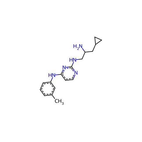 Cc1cccc(Nc2ccnc(NCC(N)CC3CC3)n2)c1